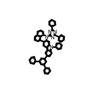 c1ccc(-c2cc(-c3ccccc3)cc(-c3ccc4c(c3)c3cc5c(cc3n4-c3ccccc3)N(c3nc(-c4ccccc4)nc(-c4ccccc4)n3)c3cccc4cccc-5c34)c2)cc1